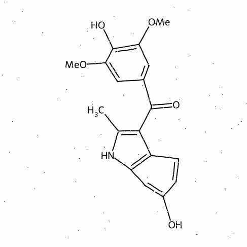 COc1cc(C(=O)c2c(C)[nH]c3cc(O)ccc23)cc(OC)c1O